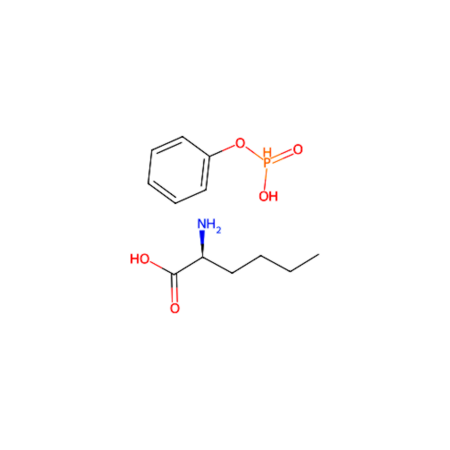 CCCC[C@H](N)C(=O)O.O=[PH](O)Oc1ccccc1